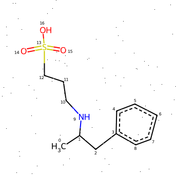 CC(Cc1ccccc1)NCCCS(=O)(=O)O